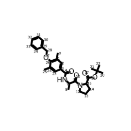 Cc1cc(C(=O)NC(C)C(=O)N2CCCC2C(=O)OC(C)(C)C)cc(C)c1OCc1ccccc1